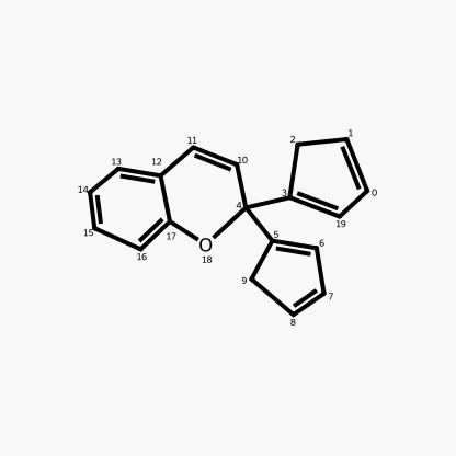 C1=CCC(C2(C3=CC=CC3)C=Cc3ccccc3O2)=C1